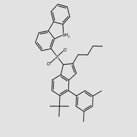 CCCCC1=Cc2c(ccc(C(C)(C)C)c2-c2cc(C)cc(C)c2)[CH]1[Zr]([Cl])([Cl])[c]1cccc2c1[SiH2]c1ccccc1-2